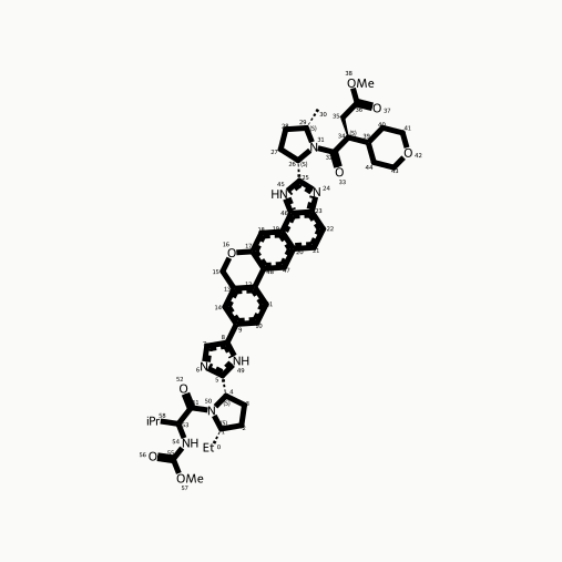 CC[C@H]1CC[C@@H](c2ncc(-c3ccc4c(c3)COc3cc5c(ccc6nc([C@@H]7CC[C@H](C)N7C(=O)[C@@H](CC(=O)OC)C7CCOCC7)[nH]c65)cc3-4)[nH]2)N1C(=O)C(NC(=O)OC)C(C)C